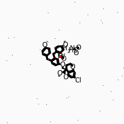 COc1ccc(Cc2ccc(OC[C@@]3(C(OC)OC)CCOc4cc(Cl)ccc43)c([N+](=O)[O-])c2Cc2ccc(OC)cc2)cc1.N[SH](=O)=O